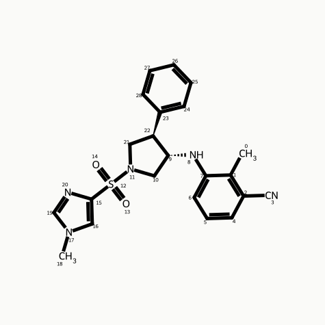 Cc1c(C#N)cccc1N[C@@H]1CN(S(=O)(=O)c2cn(C)cn2)C[C@H]1c1ccccc1